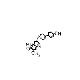 Cc1cc2ncc(CN3CC=C(c4ccc(C#N)cc4)CC3)cc2[nH]c1=O